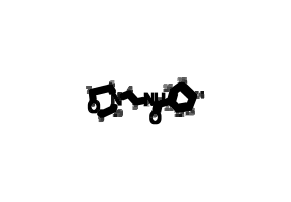 O=C(NCCN1CCOCC1)c1[c]cccc1